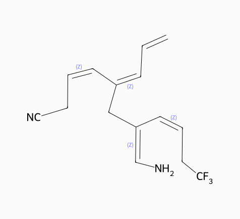 C=C/C=C(\C=C/CC#N)CC(/C=C\CC(F)(F)F)=C/N